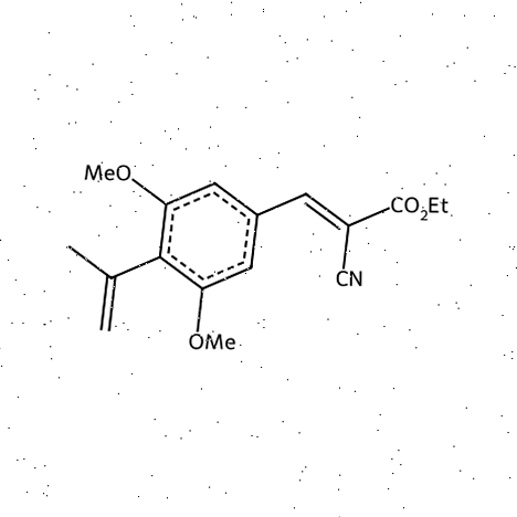 C=C(C)c1c(OC)cc(/C=C(\C#N)C(=O)OCC)cc1OC